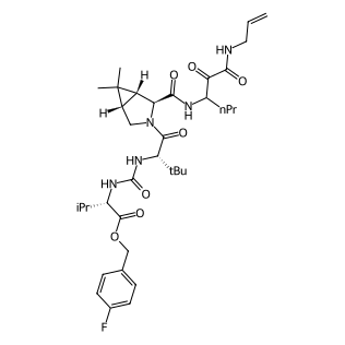 C=CCNC(=O)C(=O)C(CCC)NC(=O)[C@@H]1[C@@H]2[C@H](CN1C(=O)[C@@H](NC(=O)N[C@H](C(=O)OCc1ccc(F)cc1)C(C)C)C(C)(C)C)C2(C)C